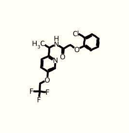 CC(NC(=O)COc1ccccc1Cl)c1ccc(OCC(F)(F)F)cn1